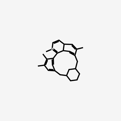 CC1=CC2C=C[N+](C)=C3c4cc(cc(C)c4C)CC4CCCC(CC1=CC32)C4